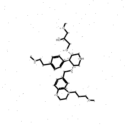 COCCCN1CCOc2ccc(CO[C@H]3CNC[C@@H](OCC(O)COC)[C@@H]3c3ccc(CCOC)cc3)cc21